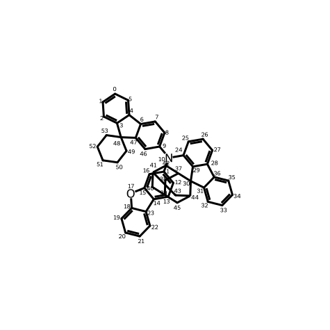 c1ccc2c(c1)-c1ccc(N(c3ccc4c(c3)oc3ccccc34)c3cccc4c3C3(c5ccccc5-4)C4CC5CC(C4)CC3C5)cc1C21CCCCC1